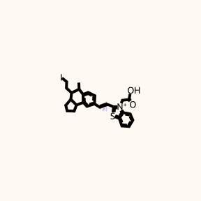 CC1c2ccc(/C=C/c3sc4ccccc4[n+]3CC(=O)O)cc2C2CCCC2C1CCI